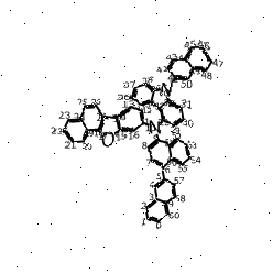 c1ccc2cc(-c3ccc(N(c4ccc5c(c4)oc4c6ccccc6ccc54)c4cccc5c4c4ccccc4n5-c4ccc5ccccc5c4)c4ccccc34)ccc2c1